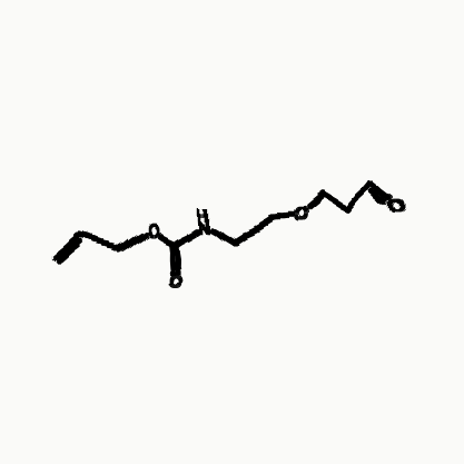 C=CCOC(=O)NCCOCCC=O